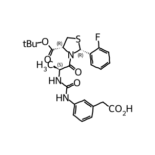 C[C@H](NC(=O)Nc1cccc(CC(=O)O)c1)C(=O)N1[C@@H](c2ccccc2F)SC[C@H]1C(=O)OC(C)(C)C